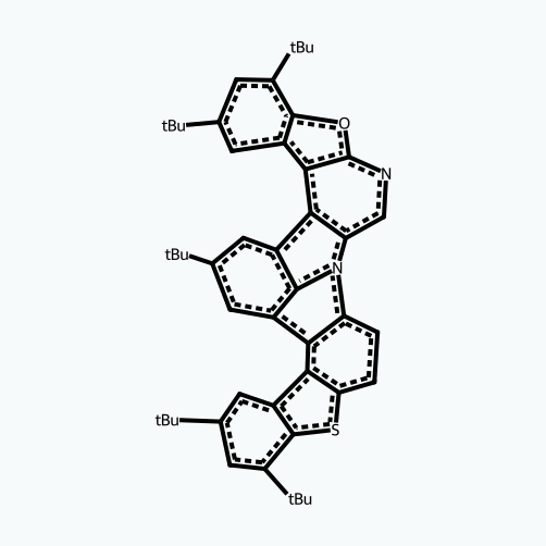 CC(C)(C)c1cc(C(C)(C)C)c2oc3ncc4c(c5cc(C(C)(C)C)cc6c7c8c(ccc7n4c56)sc4c(C(C)(C)C)cc(C(C)(C)C)cc48)c3c2c1